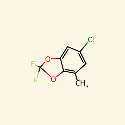 Cc1cc(Cl)cc2c1OC(F)(F)O2